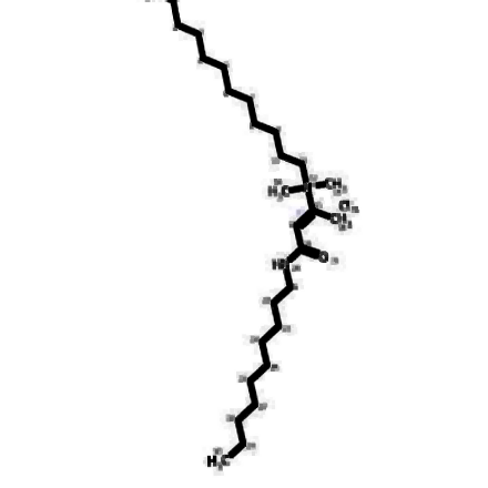 CCCCCCCCCCCC[N+](C)(C)/C(C)=C/C(=O)NCCCCCCCCCC.[Cl-]